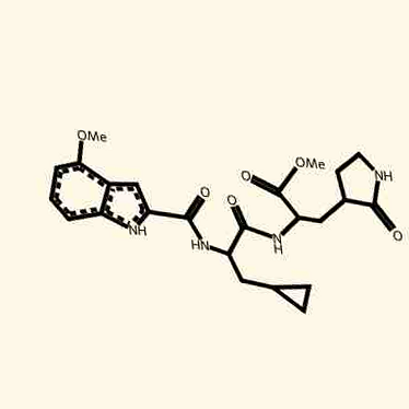 COC(=O)C(CC1CCNC1=O)NC(=O)C(CC1CC1)NC(=O)c1cc2c(OC)cccc2[nH]1